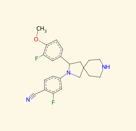 COc1ccc(C2CC3(CCNCC3)CN2c2ccc(C#N)c(F)c2)cc1F